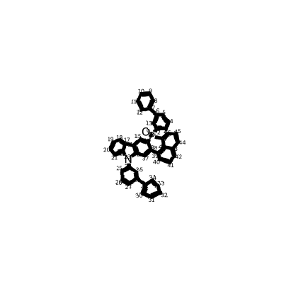 O=P1(c2cccc(-c3ccccc3)c2)c2cc3c4ccccc4n(-c4cccc(-c5ccccc5)c4)c3cc2-c2cccc3cccc1c23